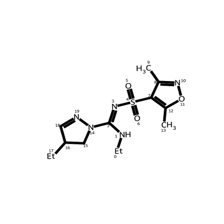 CCN/C(=N\S(=O)(=O)c1c(C)noc1C)N1CC(CC)C=N1